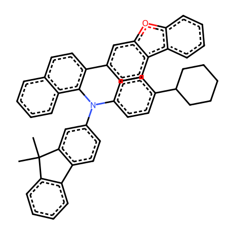 CC1(C)c2ccccc2-c2ccc(N(c3ccc(C4CCCCC4)cc3)c3c(-c4ccc5c(c4)oc4ccccc45)ccc4ccccc34)cc21